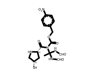 CC(NC=O)(NC=O)N(C(=O)OCc1ccc([N+](=O)[O-])cc1)C(=O)[C@@H]1C[C@H](S)CN1